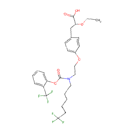 CCOC(Cc1ccc(OCCN(CCCCCC(F)(F)F)C(=O)Oc2ccccc2C(F)(F)F)cc1)C(=O)O